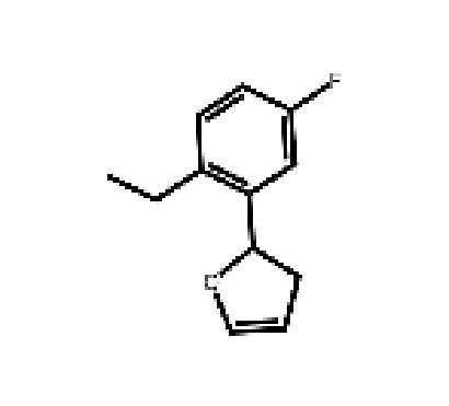 CCc1ccc(F)cc1C1CC=CO1